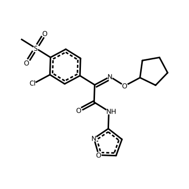 CS(=O)(=O)c1ccc(C(=NOC2CCCC2)C(=O)Nc2ccon2)cc1Cl